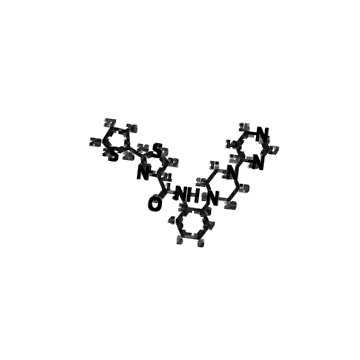 O=C(Nc1ccccc1N1CCN(c2ccncn2)CC1)c1csc(-c2cccs2)n1